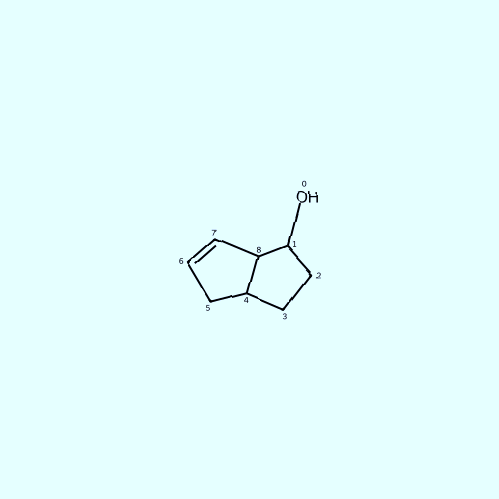 OC1CCC2CC=CC12